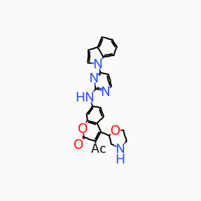 CC(=O)c1c(C2CNCCO2)c2ccc(Nc3nccc(-n4ccc5ccccc54)n3)cc2oc1=O